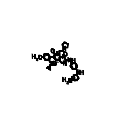 Cc1ccc(-c2cc3cnc(Nc4ccc(NC5CCN(C)C5)cc4)nc3n(CC(=O)N3CCCC3)c2=O)c([S+]([O-])C2CC2)c1